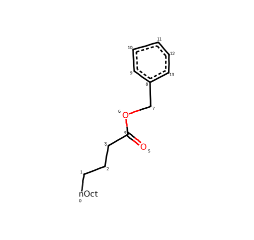 CCCCCCCCCC[CH]C(=O)OCc1ccccc1